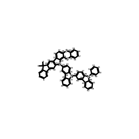 CC1(C)c2ccccc2-c2cc3c(cc21)c1ccc2c(c1n3-c1ccc3c(c1)c1ccccc1n3-c1ccc3c(c1)c1ccccc1n3-c1ccccc1)Sc1ccccc1S2